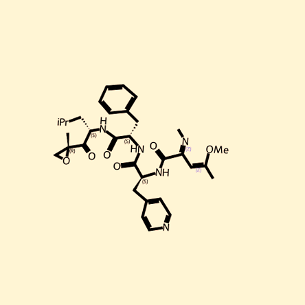 C/N=C(/C=C(/C)OC)C(=O)N[C@@H](Cc1ccncc1)C(=O)N[C@@H](Cc1ccccc1)C(=O)N[C@@H](CC(C)C)C(=O)[C@@]1(C)CO1